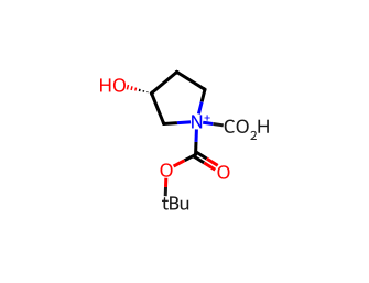 CC(C)(C)OC(=O)[N+]1(C(=O)O)CC[C@@H](O)C1